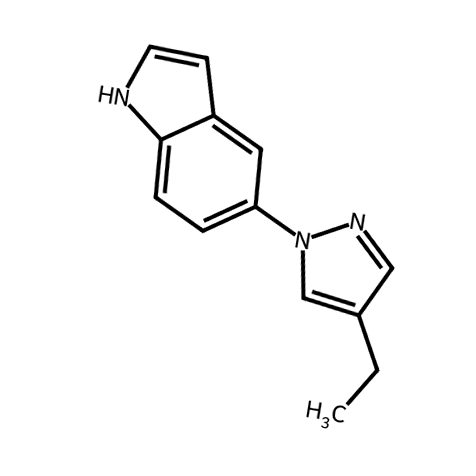 CCc1cnn(-c2ccc3[nH]ccc3c2)c1